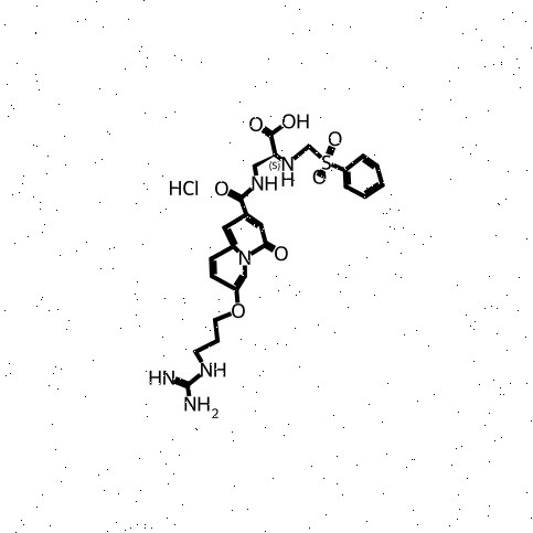 Cl.N=C(N)NCCCOc1ccc2cc(C(=O)NC[C@H](NCS(=O)(=O)c3ccccc3)C(=O)O)cc(=O)n2c1